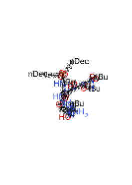 CCCCCCCCCCCCCCCCOP(=O)(CCCNCCCC[C@H](NC(=O)CNC(=O)c1ccc(Cn2c(O)nc3c(N)nc(NCCCC)nc32)cc1)C(=O)NCCCN(CCCCN(CCCNC(=O)OC(C)(C)C)C(=O)OC(C)(C)C)C(=O)OC(C)(C)C)OCCCCCCCCCCCCCCCC